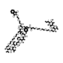 CC[C@H](C)[C@@H](COC)N(C)C(=O)[C@@H](NC(=O)[C@H](C(C)C)N(C)CCOCCOCCOCCOCCC(=O)NCCCC[C@H](NC(=O)CCOCCOCCOCCOCCN(C)[C@H](C(=O)N[C@H](C(=O)N(C)[C@H](C(CC(=O)N1CCC[C@H]1[C@H](OC)C(C)C(=O)N[C@@H](Cc1ccccc1)c1nccs1)OC)[C@@H](C)CC)C(C)C)C(C)C)C(=O)NCCOCCON1C(=O)c2ccccc2C1=O)C(C)C